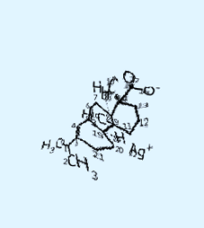 CC(C)C1=CC2=CC[C@@H]3[C@](C)(CCC[C@@]3(C)C(=O)[O-])[C@H]2CC1.[Ag+]